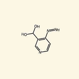 N=Nc1ccncc1C(O)O